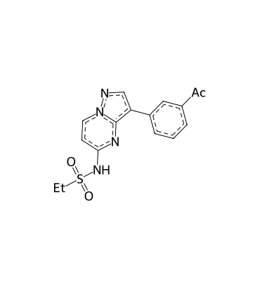 CCS(=O)(=O)Nc1ccn2ncc(-c3cccc(C(C)=O)c3)c2n1